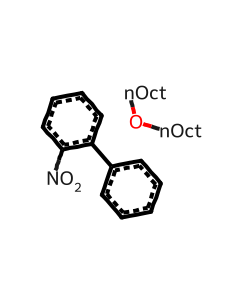 CCCCCCCCOCCCCCCCC.O=[N+]([O-])c1ccccc1-c1ccccc1